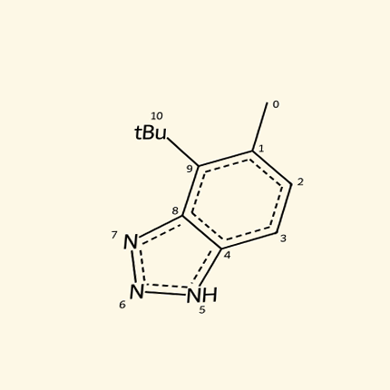 Cc1ccc2[nH]nnc2c1C(C)(C)C